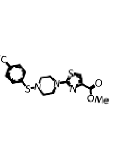 COC(=O)c1csc(N2CCN(Sc3ccc(C#N)cc3)CC2)n1